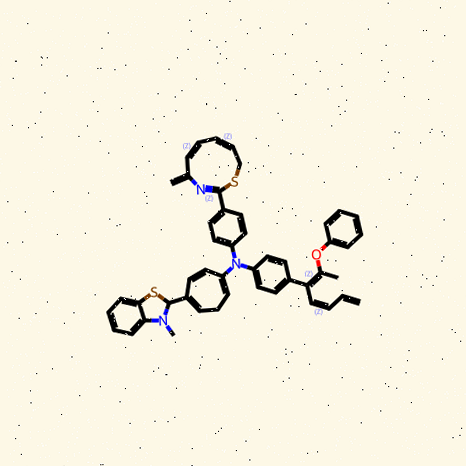 C=C/C=C\C(=C(/C)Oc1ccccc1)c1ccc(N(C2=CCC=C(C3Sc4ccccc4N3C)C=C2)c2ccc(/C3=N/C(=C)/C=C\C=C/CS3)cc2)cc1